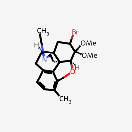 COC1(OC)C(Br)CC2[C@@H]3Cc4ccc(C)c5c4[C@]2(CCN3C)[C@@H]1O5